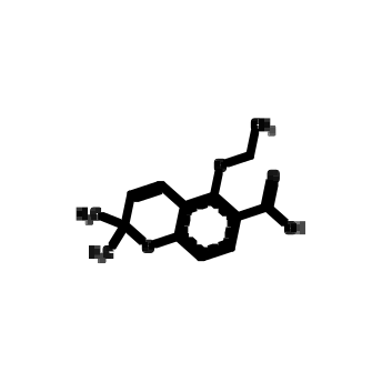 CCOc1c(C(=O)O)ccc2c1C=CC(C)(C)O2